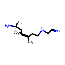 C/C(=C/C[C@](C)(N)C(=O)O)CCNCC=N